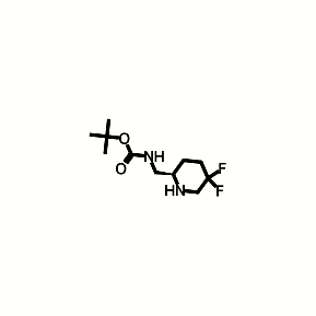 CC(C)(C)OC(=O)NC[C@H]1CCC(F)(F)CN1